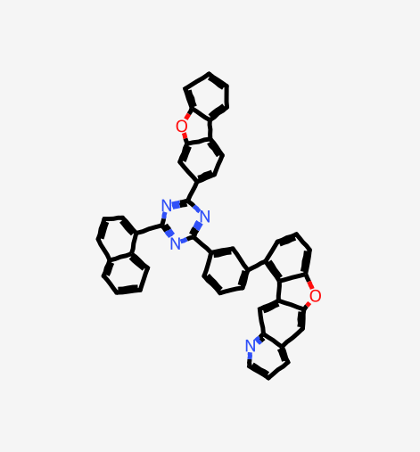 c1cc(-c2nc(-c3ccc4c(c3)oc3ccccc34)nc(-c3cccc4ccccc34)n2)cc(-c2cccc3oc4cc5cccnc5cc4c23)c1